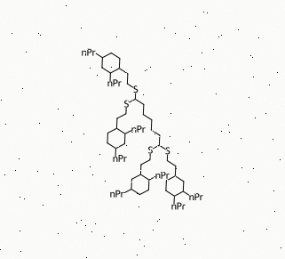 CCCC1CCC(CCSC(CCCCCC(SCCC2CCC(CCC)C(CCC)C2)SCCC2CC(CCC)CCC2CCC)SCCC2CCC(CCC)CC2CCC)C(CCC)C1